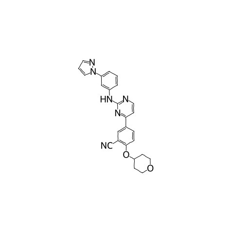 N#Cc1cc(-c2ccnc(Nc3cccc(-n4cccn4)c3)n2)ccc1OC1CCOCC1